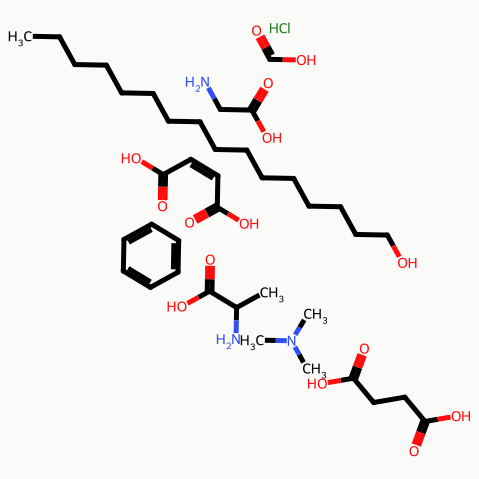 CC(N)C(=O)O.CCCCCCCCCCCCCCCCO.CN(C)C.Cl.NCC(=O)O.O=C(O)/C=C\C(=O)O.O=C(O)CCC(=O)O.O=CO.c1ccccc1